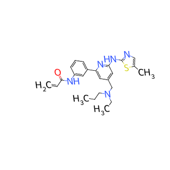 C=CC(=O)Nc1cccc(-c2cc(CN(CC)CCC)cc(Nc3ncc(C)s3)n2)c1